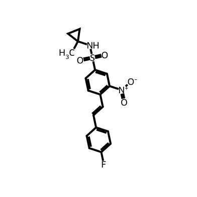 CC1(NS(=O)(=O)c2ccc(C=Cc3ccc(F)cc3)c([N+](=O)[O-])c2)CC1